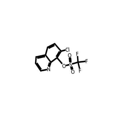 O=S(=O)(Oc1c(Cl)ccc2cccnc12)C(F)(F)F